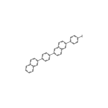 Ic1ccc(-c2ccc3cc(-c4ccc(-c5ccc6ccccc6c5)cc4)ccc3c2)cc1